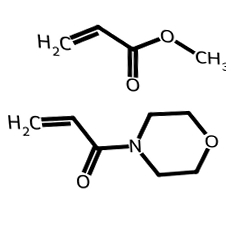 C=CC(=O)N1CCOCC1.C=CC(=O)OC